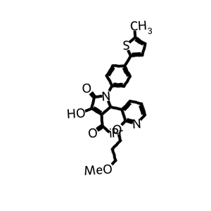 COCCCOc1ncccc1C1C(C(=O)C(C)C)=C(O)C(=O)N1c1ccc(-c2ccc(C)s2)cc1